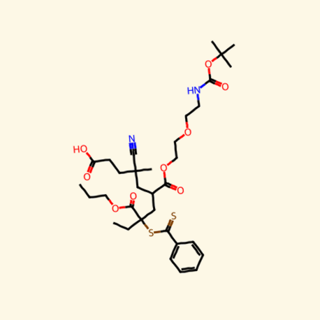 CCCOC(=O)C(CC)(CC(CC(C)(C#N)CCC(=O)O)C(=O)OCCOCCNC(=O)OC(C)(C)C)SC(=S)c1ccccc1